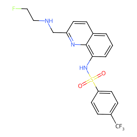 O=S(=O)(Nc1cccc2ccc(CNCCF)nc12)c1ccc(C(F)(F)F)cc1